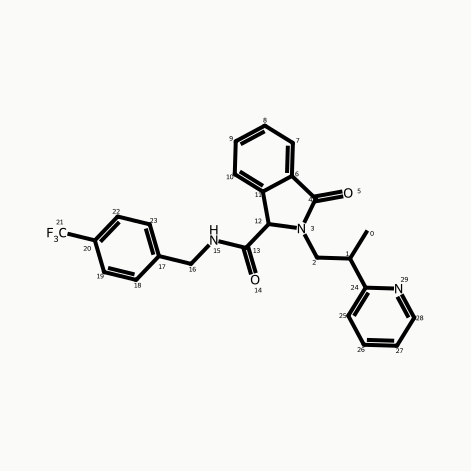 CC(CN1C(=O)c2ccccc2C1C(=O)NCc1ccc(C(F)(F)F)cc1)c1ccccn1